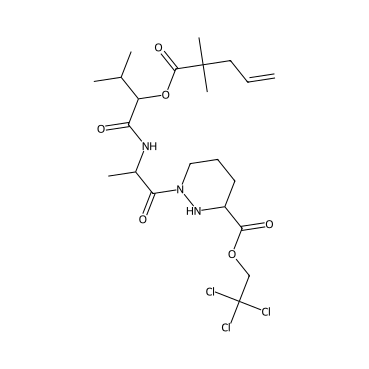 C=CCC(C)(C)C(=O)OC(C(=O)NC(C)C(=O)N1CCCC(C(=O)OCC(Cl)(Cl)Cl)N1)C(C)C